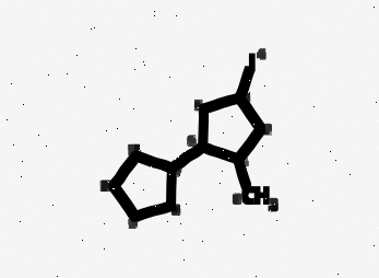 CC1CC(I)CC1C1CCCC1